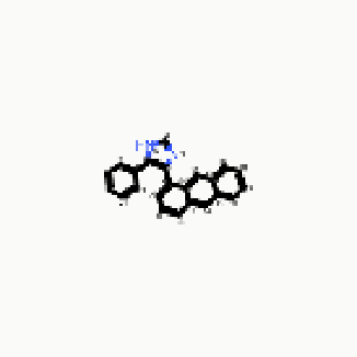 c1ccc(-c2[nH]cnc2-c2cccc3cc4ccccc4cc23)cc1